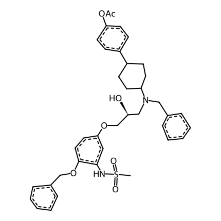 CC(=O)Oc1ccc(C2CCC(N(Cc3ccccc3)C[C@H](O)COc3ccc(OCc4ccccc4)c(NS(C)(=O)=O)c3)CC2)cc1